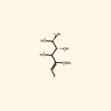 C/C=C(\OC)C(O)[C@@H](O)[C@@H](O)C(C)C